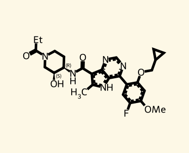 CCC(=O)N1CC[C@@H](NC(=O)c2c(C)[nH]c3c(-c4cc(F)c(OC)cc4OCC4CC4)ncnc23)[C@@H](O)C1